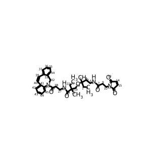 CCC(C)(CCNC(=O)CCN1C(=O)C=CC1=O)OCC(C)(CC)C(=O)NCCC(=O)N1Cc2ccccc2C#Cc2ccccc21